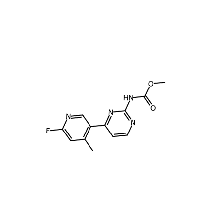 COC(=O)Nc1nccc(-c2cnc(F)cc2C)n1